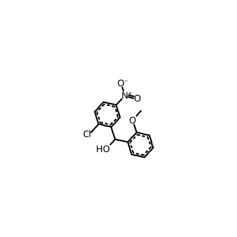 COc1ccccc1C(O)c1cc([N+](=O)[O-])ccc1Cl